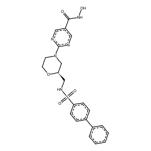 O=C(NO)c1cnc(N2CCO[C@H](CNS(=O)(=O)c3ccc(-c4ccccc4)cc3)C2)nc1